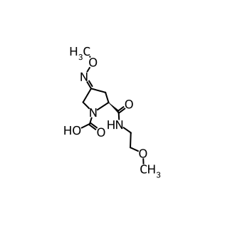 COCCNC(=O)[C@@H]1C/C(=N\OC)CN1C(=O)O